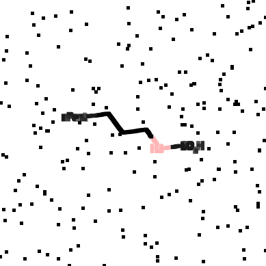 CCCCCCCCBS(=O)(=O)O